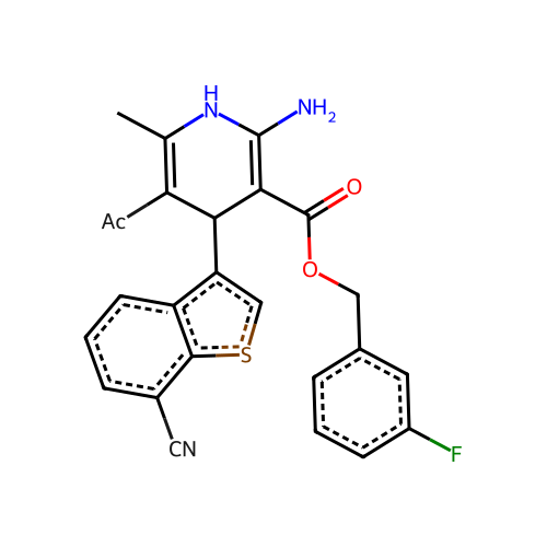 CC(=O)C1=C(C)NC(N)=C(C(=O)OCc2cccc(F)c2)C1c1csc2c(C#N)cccc12